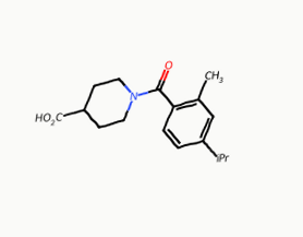 Cc1cc(C(C)C)ccc1C(=O)N1CCC(C(=O)O)CC1